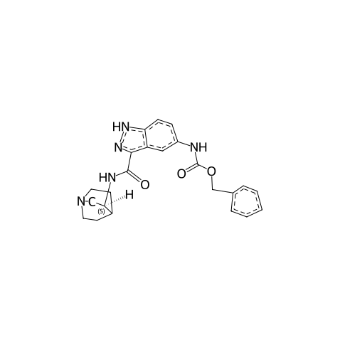 O=C(Nc1ccc2[nH]nc(C(=O)N[C@@H]3CN4CCC3CC4)c2c1)OCc1ccccc1